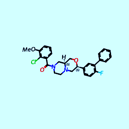 COc1cccc(C(=O)N2CCN3C[C@H](c4ccc(F)c(-c5ccccc5)c4)OC[C@@H]3C2)c1Cl